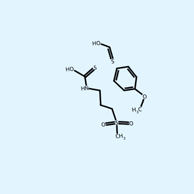 COc1ccccc1.CS(=O)(=O)CCCNC(O)=S.OC=S